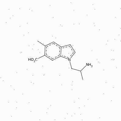 Cc1cc2ccn(CC(C)N)c2cc1C(=O)O